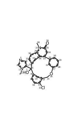 Cn1cncc1C1(O)c2ccc(Cl)c(c2)COc2cccc(c2)-c2cc(=O)n(C)c3ccc1cc23